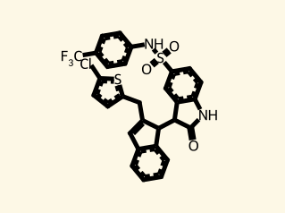 O=C1Nc2ccc(S(=O)(=O)Nc3ccc(C(F)(F)F)cc3)cc2C1C1C(Cc2ccc(Cl)s2)=Cc2ccccc21